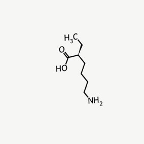 CC[C@@H](CCCCN)C(=O)O